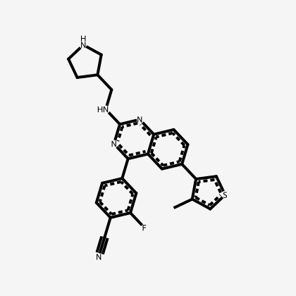 Cc1cscc1-c1ccc2nc(NCC3CCNC3)nc(-c3ccc(C#N)c(F)c3)c2c1